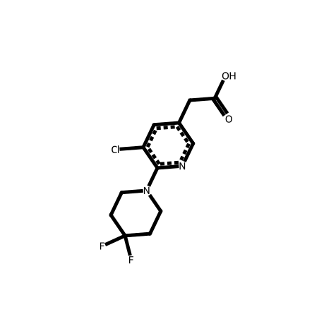 O=C(O)Cc1cnc(N2CCC(F)(F)CC2)c(Cl)c1